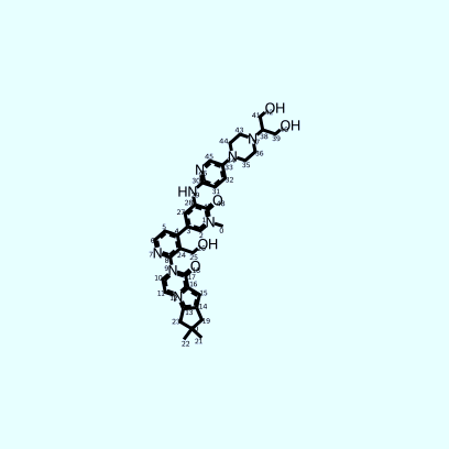 Cn1cc(-c2ccnc(-n3ccn4c5c(cc4c3=O)CC(C)(C)C5)c2CO)cc(Nc2ccc(N3CCN(C(CO)CO)CC3)cn2)c1=O